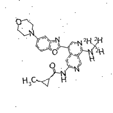 [2H]C([2H])([2H])Nc1ncc(-c2nc3cc(N4CCOCC4)ccc3o2)c2cc(NC(=O)[C@H]3C[C@H]3C)ncc12